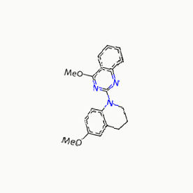 COc1ccc2c(c1)CCCN2c1nc(OC)c2ccccc2n1